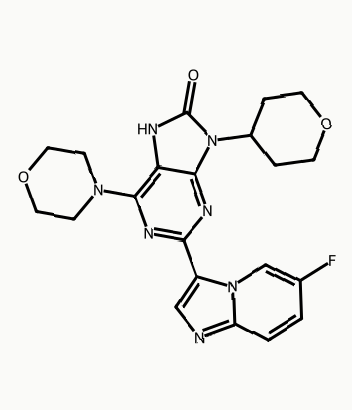 O=c1[nH]c2c(N3CCOCC3)nc(-c3cnc4ccc(F)cn34)nc2n1C1CCOCC1